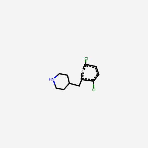 Clc1ccc(Cl)c(CC2CCNCC2)c1